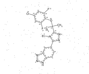 CCn1c(-c2ccc3[nH]nnc3c2)nnc1C(C)(C)Oc1c(F)cc(Cl)cc1F